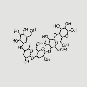 CC1OC(OC2CC(O)C(OC3C(CO)OC(OC4C(CO)OC(O)C(O)C4O)C(O)C3O)OC2CO)C(O)CC1NC1C=C(CO)C(O)C(O)C1O